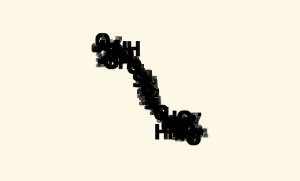 C=CC(=O)CCC(C)(CCC(O)C=C)NC(=O)OCCOCCC[Si](C)(C)c1ccc([Si](C)(C)CCCOCCOC(=O)NC(C)(COC(=O)C=C)COC(O)C=C)cc1